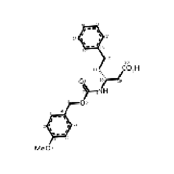 COc1ccc(COC(=O)N[C@H](CCc2ccccc2)CC(=O)O)cc1